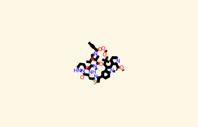 CC#CC(=O)N1CC[C@H](C(=O)N(C)[C@H](C(=O)N[C@@H](Cc2nc(-c3ccc4c(c3)c(CC(C)(C)COC=O)c(-c3cccnc3[C@H](C)OC)n4C)cs2)C(=O)N2CCCCN2)C(C)C)C1